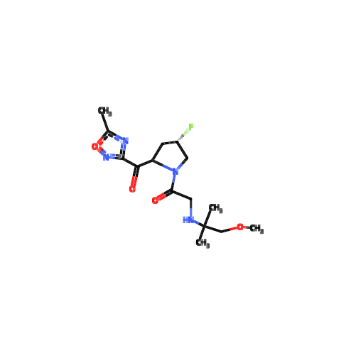 COCC(C)(C)NCC(=O)N1C[C@@H](F)CC1C(=O)c1noc(C)n1